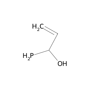 C=CC(O)P